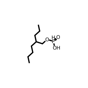 CCCCC(CCC)CO[PH](=O)O